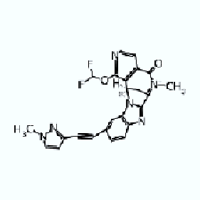 Cn1ccc(C#Cc2ccc3nc4n(c3c2)[C@@H]2CC4=[N+](C)C(=O)c3ccnc(OC(F)F)c32)n1